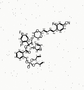 C=CCOP(=O)(OCC=C)OCc1ccccc1C(=O)O[C@@](Cn1cncn1)(c1ccc(F)cc1F)[C@@H](C)S[C@H]1CO[C@H](C=CC=Cc2ccc(C#N)cc2F)OC1